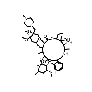 CCC1OC(=O)C(C)C(O[C@H]2C[C@@](C)(OC)[C@](O)(CN3CCN(C)CC3)[C@H](C)O2)C(C)C(O[C@@H]2O[C@H](C)C[C@H](NC)[C@H]2Oc2ccccc2)C(C)(O)CC(C)CNC(C)C(O)C1(C)O